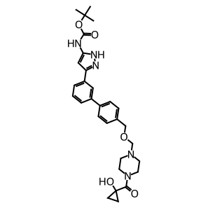 CC(C)(C)OC(=O)Nc1cc(-c2cccc(-c3ccc(COCN4CCN(C(=O)C5(O)CC5)CC4)cc3)c2)n[nH]1